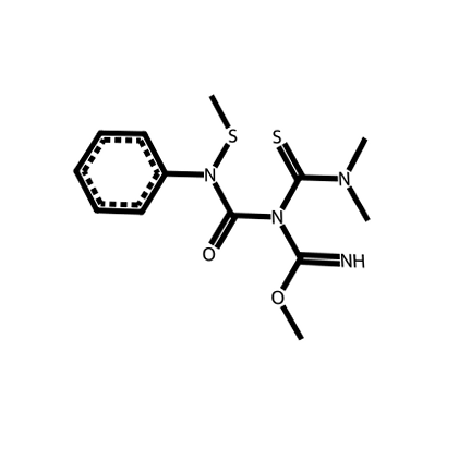 COC(=N)N(C(=O)N(SC)c1ccccc1)C(=S)N(C)C